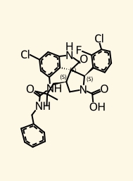 CC(C)(C)C[C@@H]1CN(C(=O)O)[C@H](c2cccc(Cl)c2F)[C@]12C(=O)Nc1cc(Cl)cc(NC(=O)NCc3ccccc3)c12